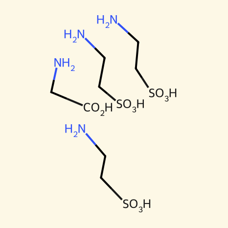 NCC(=O)O.NCCS(=O)(=O)O.NCCS(=O)(=O)O.NCCS(=O)(=O)O